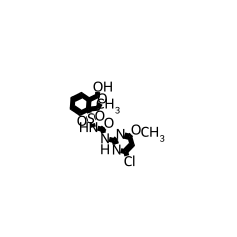 CCC1(S(=O)(=O)NC(=O)Nc2nc(Cl)cc(OC)n2)C=CC=CC1C(=O)O